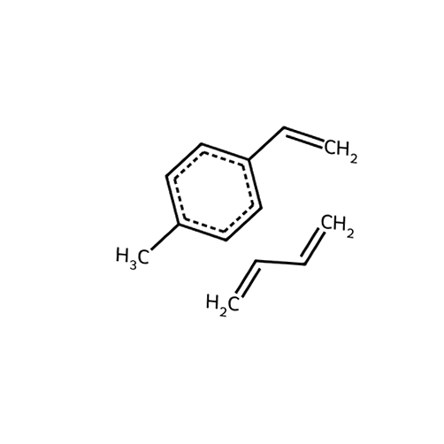 C=CC=C.C=Cc1ccc(C)cc1